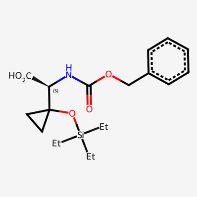 CC[Si](CC)(CC)OC1([C@H](NC(=O)OCc2ccccc2)C(=O)O)CC1